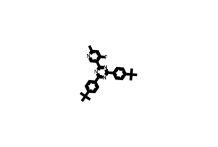 Cc1cc(F)c(-c2nc(-c3ccc(C(C)(C)C)cc3)nc(-c3ccc(C(C)(C)C)cc3)n2)cn1